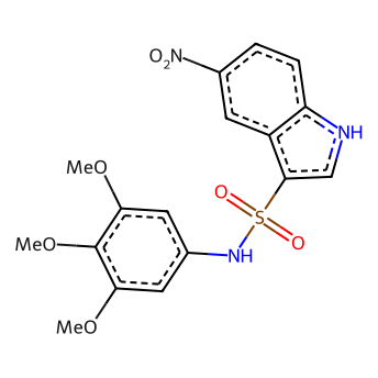 COc1cc(NS(=O)(=O)c2c[nH]c3ccc([N+](=O)[O-])cc23)cc(OC)c1OC